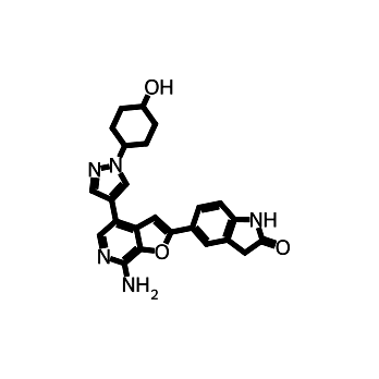 Nc1ncc(-c2cnn(C3CCC(O)CC3)c2)c2cc(-c3ccc4c(c3)CC(=O)N4)oc12